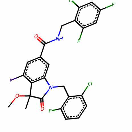 COC1(C)C(=O)N(Cc2c(F)cccc2Cl)c2cc(C(=O)NCc3c(F)cc(F)cc3F)cc(I)c21